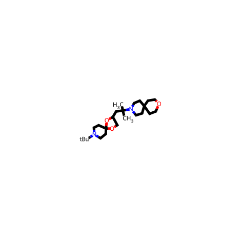 CC(C)(C)N1CCC2(CC1)OCC(CC(C)(C)N1CCC3(CCOCC3)CC1)O2